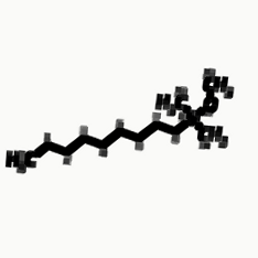 CCCCCCCCC[Si](C)(C)OC